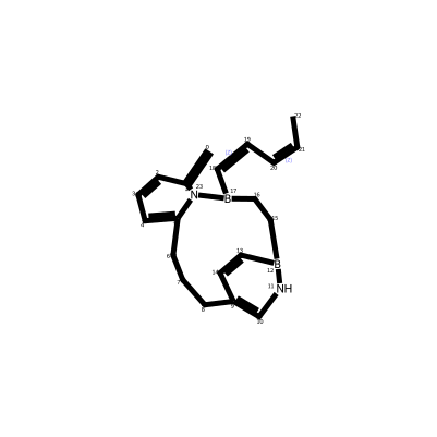 C=C1C=CC=C2CCCC3=CNB(C=C3)CCB(/C=C\C=C/C)N12